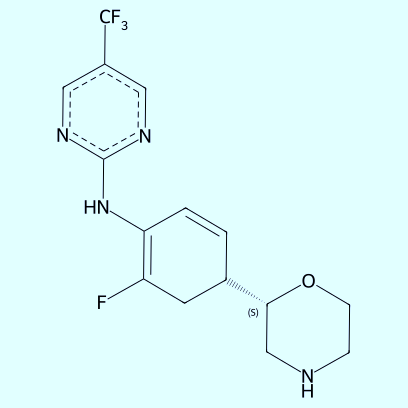 FC1=C(Nc2ncc(C(F)(F)F)cn2)C=CC([C@H]2CNCCO2)C1